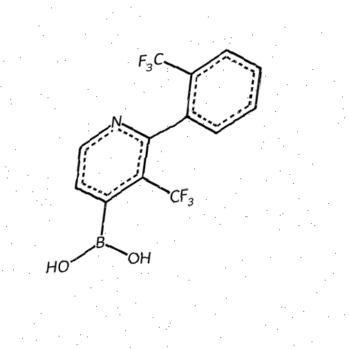 OB(O)c1ccnc(-c2ccccc2C(F)(F)F)c1C(F)(F)F